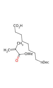 C=C(C)C(=O)OC.CCCCCCCCCCCCCCCCCC(=O)O